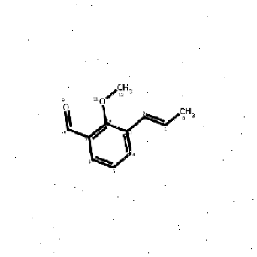 CC=Cc1cccc(C=O)c1OC